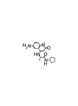 CC(Nc1cc(=O)n(C)c2ccc(N)cc12)C(=O)NC1CCCC1